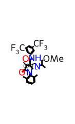 COCC(C)N(C)C[C@@]1(C(=O)Nc2cc(C(F)(F)F)cc(C(F)(F)F)c2)CN(c2c(C)cccc2C)C(=O)[C@H]1C